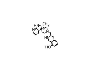 C[C@H]1CN(CC2Cc3cccc(O)c3CN2)CC[C@@]12CNc1ncccc12